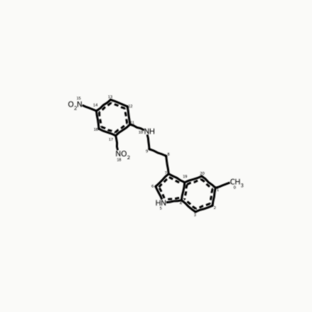 Cc1ccc2[nH]cc(CCNc3ccc([N+](=O)[O-])cc3[N+](=O)[O-])c2c1